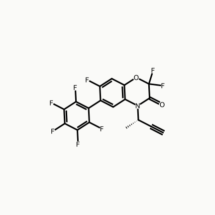 C#C[C@H](C)N1C(=O)C(F)(F)Oc2cc(F)c(-c3c(F)c(F)c(F)c(F)c3F)cc21